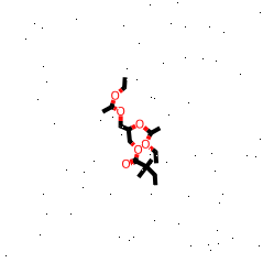 CCOC(C)OCC(COC(=O)C(C)(C)CC)OC(C)OCC